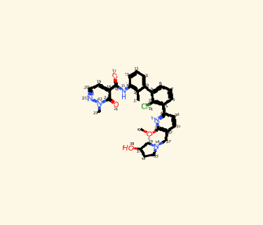 COc1nc(-c2cccc(-c3cccc(NC(=O)c4ccnn(C)c4=O)c3C)c2Cl)ccc1CN1CCC(O)C1